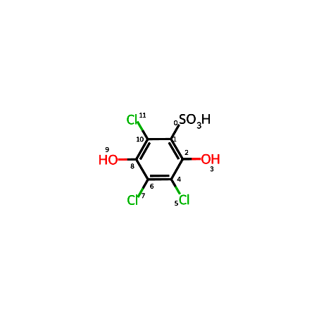 O=S(=O)(O)c1c(O)c(Cl)c(Cl)c(O)c1Cl